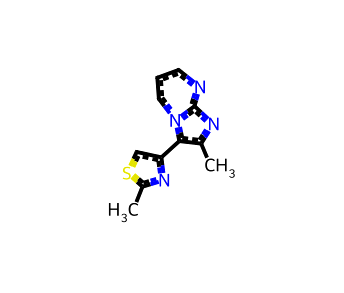 Cc1nc(-c2c(C)nc3ncccn23)cs1